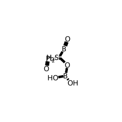 O=B[SiH2]OB(O)O.[O]=[Pb]